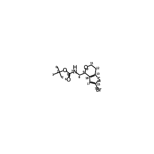 CC(C)(C)OC(=O)NCC1OCCc2sc(Br)cc21